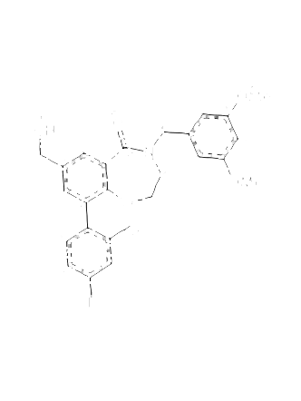 COc1cc(CN2CCOc3c(cc(CO)cc3-c3ccc(F)cc3C)C2=O)cc(OC)c1